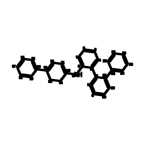 C1=C=C(c2ccccc2NC2=CC=C(c3ccccc3)CC2)C(c2ccccc2)=CC=1